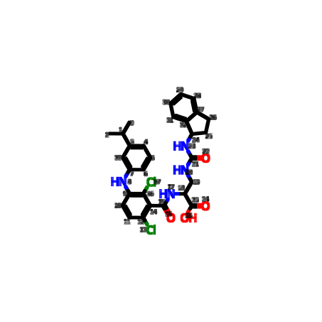 CC(C)c1cccc(Nc2ccc(Cl)c(C(=O)NC(CNC(=O)NC3CCc4ccccc43)C(=O)O)c2Cl)c1